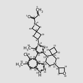 C=CC(=O)N1CC2(CC(n3nc(N4CCN(C5COC5)CC45CCC5)c(-c4c(Cl)c(C)cc5[nH]ncc45)c3C)C2)C1